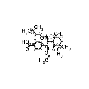 CCOC1=C(c2ccc(C(=O)O)cc2)C(=NOCCC(C)C)C2C(=C1)C(C)(C)CCC2(C)C